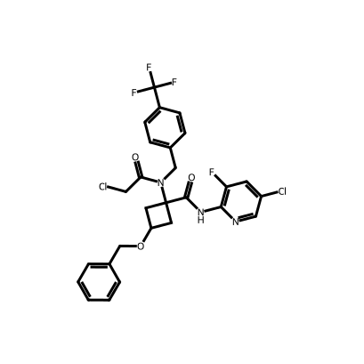 O=C(CCl)N(Cc1ccc(C(F)(F)F)cc1)C1(C(=O)Nc2ncc(Cl)cc2F)CC(OCc2ccccc2)C1